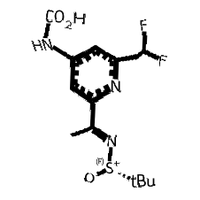 CC(=N[S@@+]([O-])C(C)(C)C)c1cc(NC(=O)O)cc(C(F)F)n1